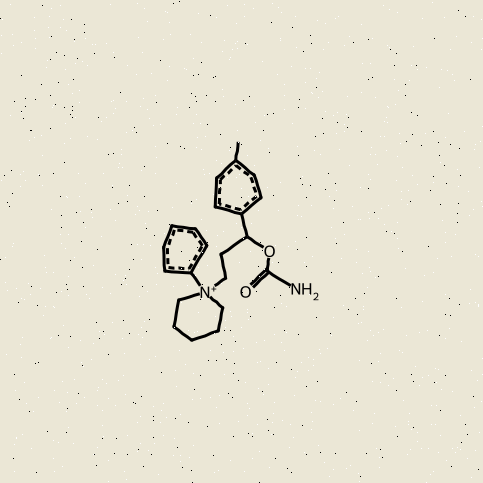 Cc1ccc(C(CC[N+]2(c3ccccc3)CCCCC2)OC(N)=O)cc1